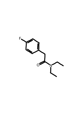 CCN(CC)C(=O)Cc1ccc(F)cc1